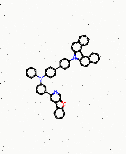 c1ccc(N(c2ccc(-c3ccc(-n4c5ccc6ccccc6c5c5c6ccccc6ccc54)cc3)cc2)c2cccc(-c3cc4c(cn3)oc3ccccc34)c2)cc1